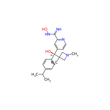 CC(C)c1ccc([C@](O)(c2ccnc(C(=N)NO)c2)C2(C)CN(C)C2)cc1